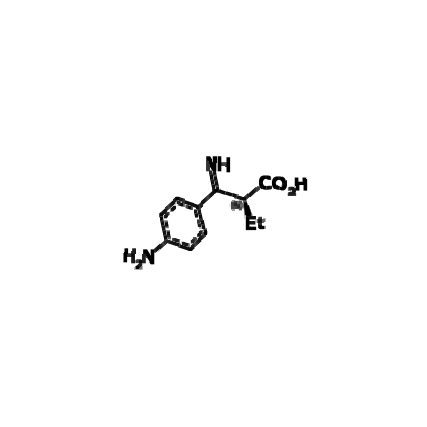 CC[C@@H](C(=N)c1ccc(N)cc1)C(=O)O